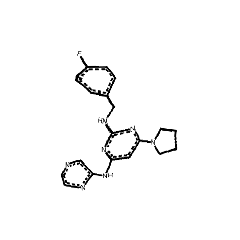 Fc1ccc(CNc2nc(Nc3cnccn3)cc(N3CCCC3)n2)cc1